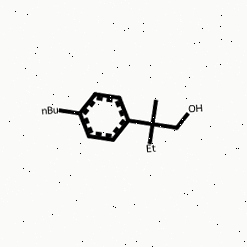 CCCCc1ccc(C(C)(CC)CO)cc1